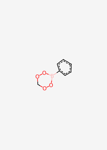 c1ccc(B2OOCOO2)cc1